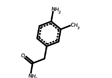 Cc1cc(CC(N)=O)ccc1N